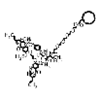 C/C=C/C1=CN2C(=O)c3cc(OC)c(OCCCOc4cc5c(cc4OC)C(=O)N4C=C(/C=C/C)C[C@H]4[C@H](O)N5C(=O)OCc4ccc(NC(=O)C(C)NC(=O)[C@@H](NC(=O)CCOCCOCCOCCOCCNC(=O)Cc5ccccccccccccc5)C(C)C)cc4)cc3N=C[C@@H]2C1